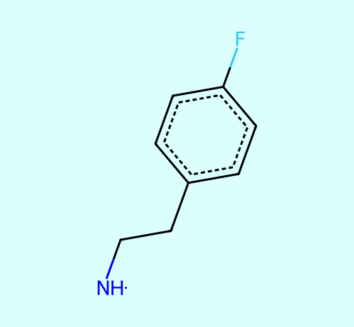 [NH]CCc1ccc(F)cc1